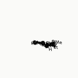 CCOc1cc(NC2CCc3c(-c4cccc(OCCCN5CCC(F)CC5)c4C)cccc32)c(Cl)cc1C(=O)OC